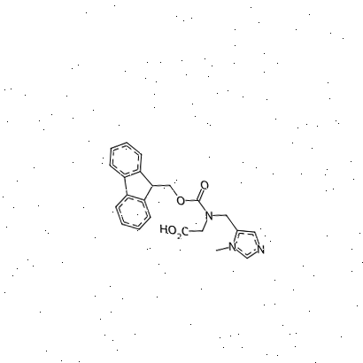 Cn1cncc1CN(CC(=O)O)C(=O)OCC1c2ccccc2-c2ccccc21